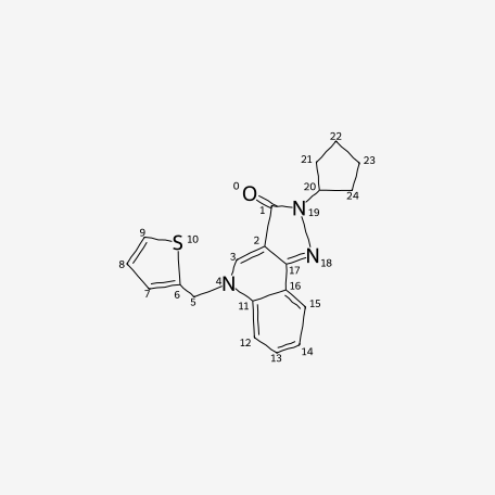 O=c1c2cn(Cc3cccs3)c3ccccc3c-2nn1C1CCCC1